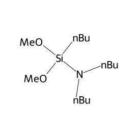 CCCCN(CCCC)[Si](CCCC)(OC)OC